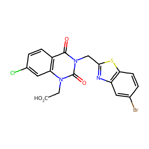 O=C(O)Cn1c(=O)n(Cc2nc3cc(Br)ccc3s2)c(=O)c2ccc(Cl)cc21